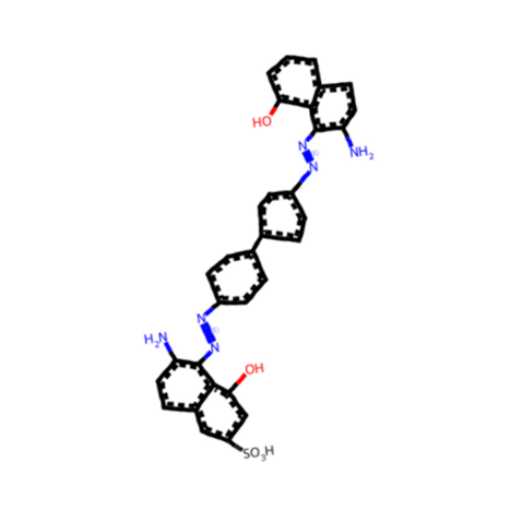 Nc1ccc2cccc(O)c2c1/N=N/c1ccc(-c2ccc(/N=N/c3c(N)ccc4cc(S(=O)(=O)O)cc(O)c34)cc2)cc1